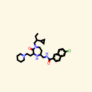 CCC(CN1CCC(CNC(=O)c2ccc3cc(Cl)ccc3c2)NC(CCN2CCCCC2)C1=O)C1CC1